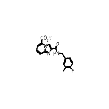 Cc1cc(CNC(=O)c2cn3c(C(=O)O)cccc3n2)ccc1F